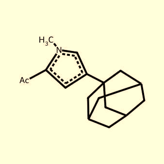 CC(=O)c1cc(C23CC4CC(CC(C4)C2)C3)cn1C